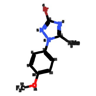 CNc1nc(Br)nn1-c1ccc(OC(F)(F)F)cc1